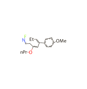 CC/C=C(\C=C(/C/C=N\F)OCCC)c1ccc(OC)cc1